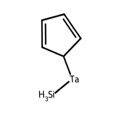 [SiH3][Ta][CH]1C=CC=C1